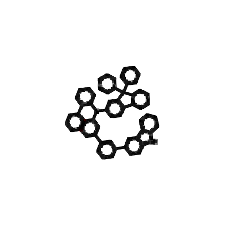 c1ccc(-c2ccccc2N(c2cccc(-c3cccc(-c4ccc5[nH]c6ccccc6c5c4)c3)c2)c2ccc3c(c2)C(c2ccccc2)(c2ccccc2)c2ccccc2-3)cc1